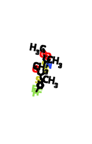 CCOC(=O)Cc1sc(SCCC(CCOC)c2sc3cc(C(F)(F)F)ccc3c2C)nc1C